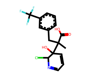 CC(Cc1cccc(C(F)(F)F)c1)(C(=O)O)C1(O)C=CC=NC1Cl